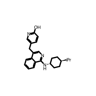 CC(C)[C@H]1CC[C@H](Nc2ncc(Cc3ccc(O)nc3)c3ccccc23)CC1